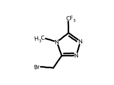 Cn1c(CBr)nnc1C(F)(F)F